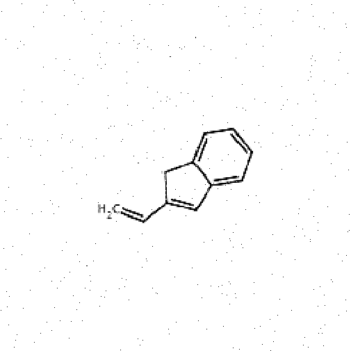 C=CC1=Cc2ccccc2[CH]1